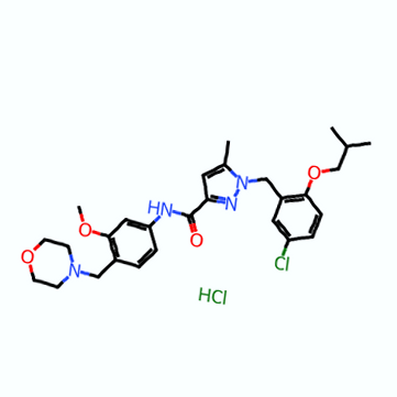 COc1cc(NC(=O)c2cc(C)n(Cc3cc(Cl)ccc3OCC(C)C)n2)ccc1CN1CCOCC1.Cl